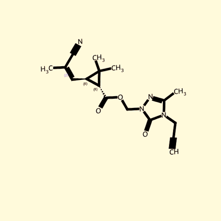 C#CCn1c(C)nn(COC(=O)[C@@H]2[C@@H](/C=C(/C)C#N)C2(C)C)c1=O